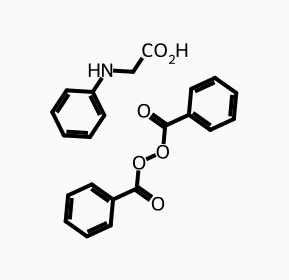 O=C(O)CNc1ccccc1.O=C(OOC(=O)c1ccccc1)c1ccccc1